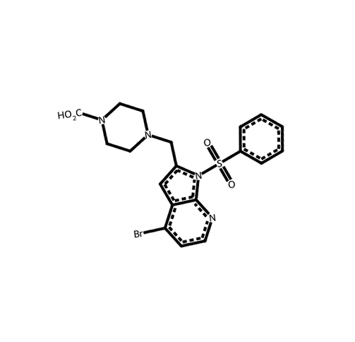 O=C(O)N1CCN(Cc2cc3c(Br)ccnc3n2S(=O)(=O)c2ccccc2)CC1